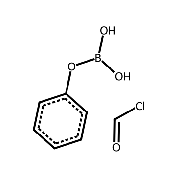 O=CCl.OB(O)Oc1ccccc1